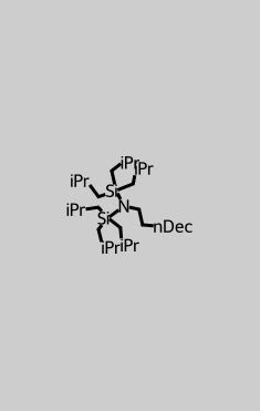 CCCCCCCCCCCCN([Si](CC(C)C)(CC(C)C)CC(C)C)[Si](CC(C)C)(CC(C)C)CC(C)C